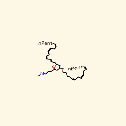 CCCCC/C=C\C/C=C\C/C=C\CCCCCC(CCCCC/C=C\C/C=C\C/C=C\CCCCC)CC(=O)CCCN(C)C